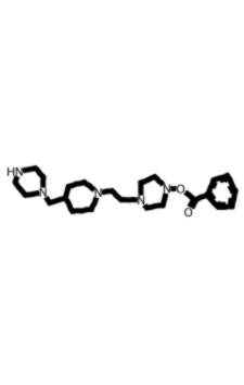 O=C(ON1CCN(CCN2CCC(CN3CCNCC3)CC2)CC1)c1ccccc1